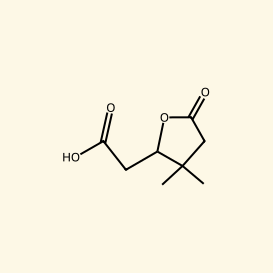 CC1(C)CC(=O)OC1CC(=O)O